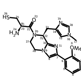 COc1ccccc1-c1cn2c(n1)[C@H](Cc1cn(C)cn1)N(C(=O)[C@@H](N)CS)CC2